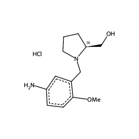 COc1ccc(N)cc1CN1CCC[C@H]1CO.Cl